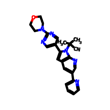 CC(C)(C#N)n1c(-c2cnc(N3CCOCC3)nc2)cc2cc(-c3ccccn3)cnc21